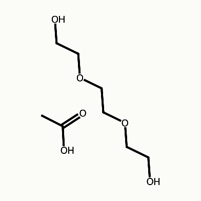 CC(=O)O.OCCOCCOCCO